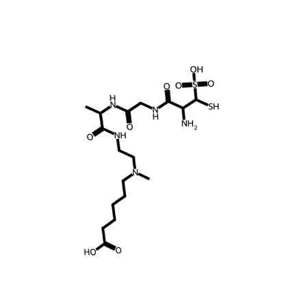 CC(NC(=O)CNC(=O)C(N)C(S)S(=O)(=O)O)C(=O)NCCN(C)CCCCCC(=O)O